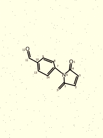 C=C1C=CC(=O)N1c1ccc(C=O)cc1